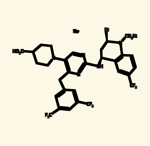 CCOC(=O)N1c2ccc(C(F)(F)F)cc2[C@@H](Nc2ncc(N3CCC(C(=O)O)CC3)c(Cc3cc(C(F)(F)F)cc(C(F)(F)F)c3)n2)C[C@H]1CC.[Na]